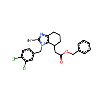 CC(C)c1nc2c(n1Cc1ccc(Cl)c(Cl)c1)C(CC(=O)OCc1ccccc1)CCC2